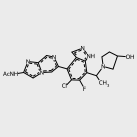 CC(=O)Nc1cn2cc(-c3c(Cl)c(F)c(C(C)N4CCC(O)C4)c4[nH]ncc34)ncc2n1